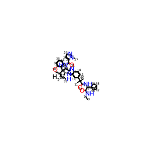 CCNC(=O)[C@H](NC(=O)C(C)(C)c1ccc2nc([C@@H](NC(=O)c3ccnn3C)[C@]3(C[SiH2]C)c4ccccc4OCC3C)[nH]c2c1)C12CCC(C1)C2